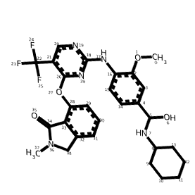 COc1cc(C(O)NC2CCCCC2)ccc1Nc1ncc(C(F)(F)F)c(Oc2cccc3c2C(=O)N(C)C3)n1